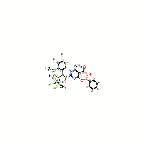 COc1c([C@H]2[C@H](c3nc(C)c(C(=O)O)c(OCc4ccccc4)n3)O[C@@](C)(C(F)(F)F)[C@H]2C)ccc(F)c1F